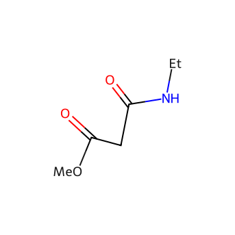 CCNC(=O)CC(=O)OC